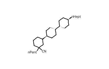 CCCCCCC[C@H]1CC[C@H]([C@H]2CC[C@H](C3CCCC(C#N)(CCCCC)C3)CC2)CC1